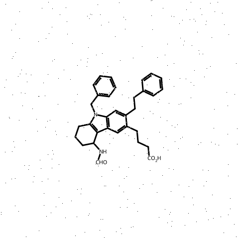 O=CNC1CCCc2c1c1cc(CCCC(=O)O)c(CCc3ccccc3)cc1n2Cc1ccccc1